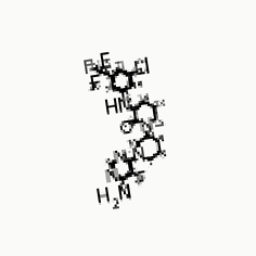 Nc1ncnc(N2CCCC(N3CCCC(Nc4cc(Cl)cc(C(F)(F)F)c4)C3=O)C2)c1F